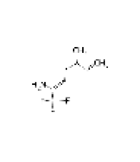 C=CC(C)C/C=C(\N)C(F)(F)F